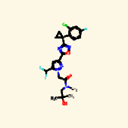 CN(CC(C)(C)O)C(=O)Cn1nc(-c2nc(C3(c4ccc(F)cc4Cl)CC3)no2)cc1C(F)F